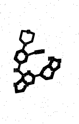 N#Cc1cc(Nc2nc(-c3ccc4cn[nH]c4c3)cn3ccnc23)ccc1N1CCOCC1